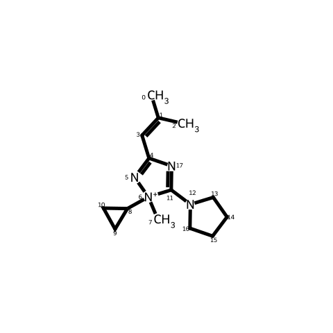 CC(C)=CC1=N[N+](C)(C2CC2)C(N2CCCC2)=N1